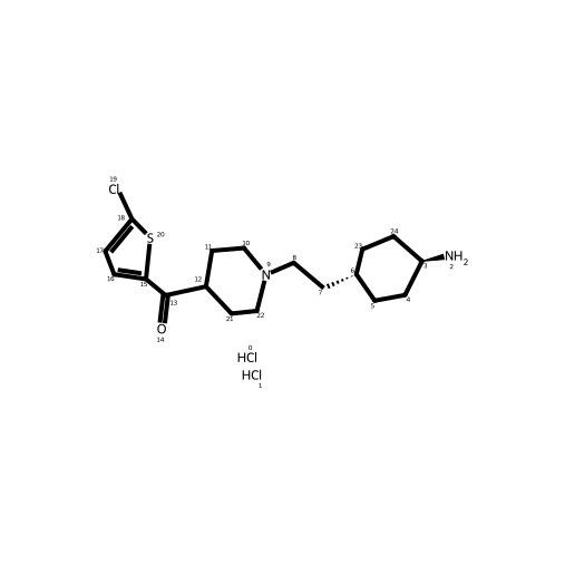 Cl.Cl.N[C@H]1CC[C@H](CCN2CCC(C(=O)c3ccc(Cl)s3)CC2)CC1